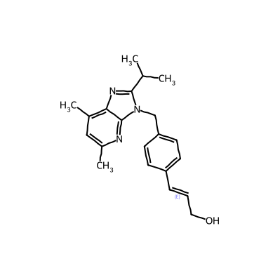 Cc1cc(C)c2nc(C(C)C)n(Cc3ccc(/C=C/CO)cc3)c2n1